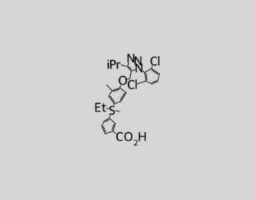 CCS(C)(c1cccc(C(=O)O)c1)c1ccc(OCc2c(C(C)C)nnn2-c2c(Cl)cccc2Cl)c(C)c1